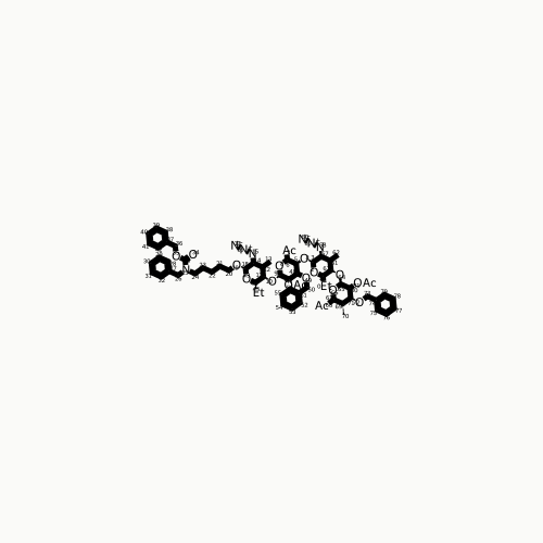 CCC1O[C@H](O[C@@H]2C(C(C)=O)O[C@@H](O[C@H]3C(C)C(N=[N+]=[N-])[C@@H](OCCCCCN(Cc4ccccc4)C(=O)OCc4ccccc4)O[C@H]3CC)C(OC(C)=O)C2OCc2ccccc2)[C@@H](N=[N+]=[N-])C(C)[C@@H]1O[C@@H]1OC(C(C)=O)[C@@H](C)[C@@H](OCc2ccccc2)C1OC(C)=O